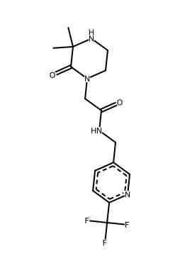 CC1(C)NCCN(CC(=O)NCc2ccc(C(F)(F)F)nc2)C1=O